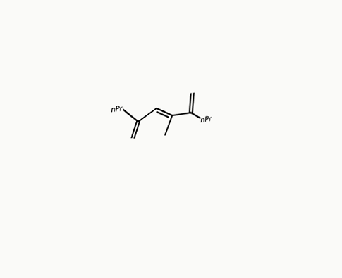 C=C(/C=C(\C)C(=C)CCC)CCC